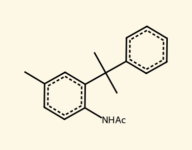 CC(=O)Nc1ccc(C)cc1C(C)(C)c1ccccc1